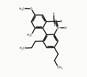 CCCc1[c]c(CCC)c(-c2c(C)cc(OC)cc2C(F)(F)F)c([N+](=O)[O-])c1